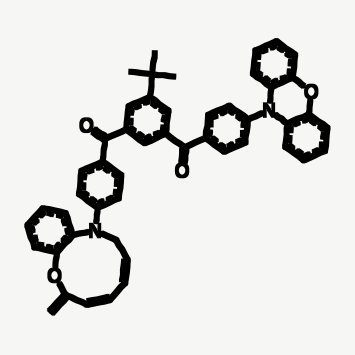 C=C1/C=C\C=C/CN(c2ccc(C(=O)c3cc(C(=O)c4ccc(N5c6ccccc6Oc6ccccc65)cc4)cc(C(C)(C)C)c3)cc2)c2ccccc2O1